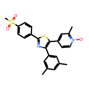 Cc1cc(C)cc(-c2nc(-c3ccc(S(C)(=O)=O)cc3)sc2-c2cc[n+]([O-])c(C)c2)c1